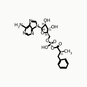 C[C@@H](Cc1ccccc1)C(=O)OP(=O)(O)OC[C@H]1O[C@@H](n2cnc3c(N)ncnc32)[C@H](O)[C@@H]1O